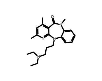 CCN(CC)CCCN1c2ccccc2N(C)C(=O)c2c(C)cc(C)nc21